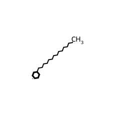 CCCCCCCCCCCCCCCc1cc[c]cc1